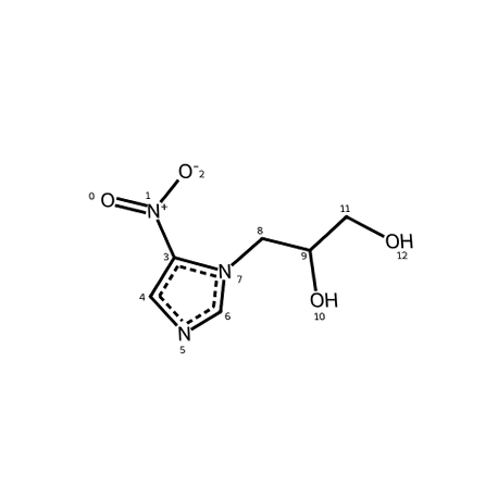 O=[N+]([O-])c1cncn1CC(O)CO